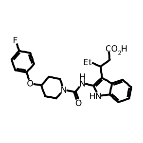 CCC(CC(=O)O)c1c(NC(=O)N2CCC(Oc3ccc(F)cc3)CC2)[nH]c2ccccc12